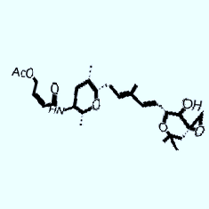 CC(=O)OC/C=C\C(=O)NC1C[C@H](C)[C@H](C/C=C(C)/C=C/[C@H]2OC(C)(C)C[C@@]3(CO3)C2O)O[C@@H]1C